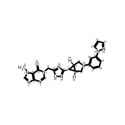 Cn1cnc2ncn(Cc3nc([C@H]4[C@@H]5CN(c6cccc(-n7cccn7)c6)C[C@@H]54)no3)c(=O)c21